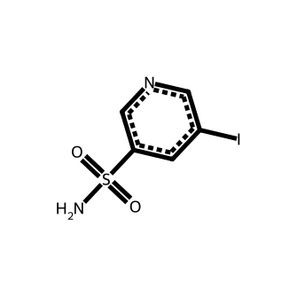 NS(=O)(=O)c1cncc(I)c1